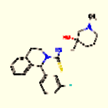 CN1CCCC(O)(CNC(=S)N2CCc3ccccc3C2c2cccc(F)c2)C1